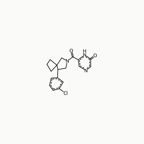 O=C(c1cncc(=O)[nH]1)N1CC(c2cccc(Cl)c2)C2(CCC2)C1